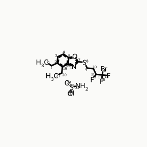 CCc1ccc2oc(SCCC(F)C(F)(F)Br)nc2c1CC.N[SH](=O)=O